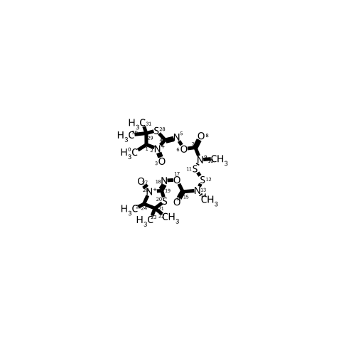 CC1[N+](=O)C(=NOC(=O)N(C)SSN(C)C(=O)ON=C2SC(C)(C)C(C)[N+]2=O)SC1(C)C